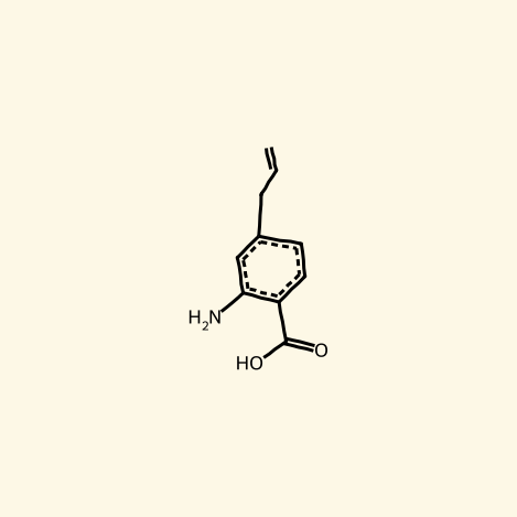 C=CCc1ccc(C(=O)O)c(N)c1